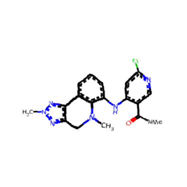 CNC(=O)c1cnc(Cl)cc1Nc1cccc2c1N(C)Cc1nn(C)nc1-2